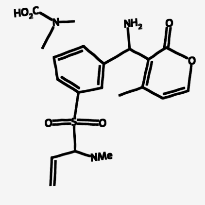 C=CC(NC)S(=O)(=O)c1cccc(C(N)c2c(C)ccoc2=O)c1.CN(C)C(=O)O